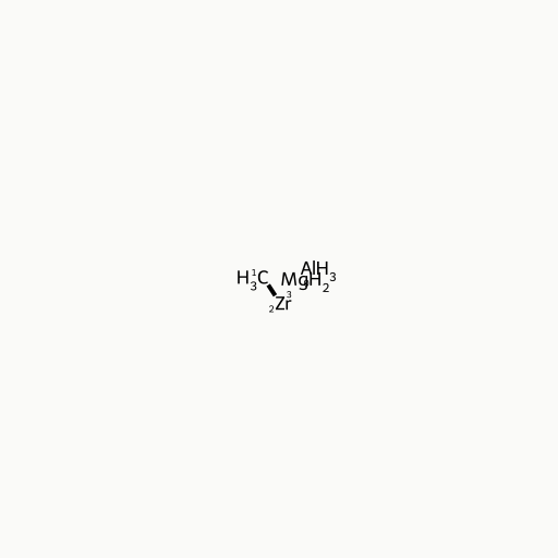 [AlH3].[CH3][Zr].[MgH2]